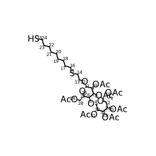 CC(=O)OC[C@H]1O[C@@H](O[C@@H]2[C@H](OC(C)=O)[C@@H](OC(C)=O)[C@@H](OCCSCCCCCCCCCS)O[C@@H]2COC(C)=O)[C@H](OC(C)=O)[C@@H](OC(C)=O)[C@H]1OC(C)=O